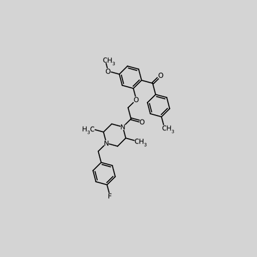 COc1ccc(C(=O)c2ccc(C)cc2)c(OCC(=O)N2CC(C)N(Cc3ccc(F)cc3)CC2C)c1